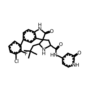 CC(C)(C)CC1NC(C(=O)Nc2cc[nH]c(=O)c2)CC12C(=O)Nc1ccc(-c3cccc(Cl)c3F)cc12